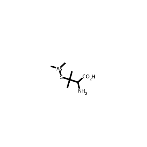 C[As](C)SC(C)(C)C(N)C(=O)O